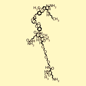 CCCCCNc1nc(N)nc2ccn(Cc3ccc(CN4CC5(C4)CN(C(=O)OCc4ccc(NC(=O)[C@H](CCCNC(N)=O)NC(=O)[C@@H](NC(=O)CCOCCOCCOCCOCCNC(=O)[C@@H](CCCCN)NC(C)=O)C(C)C)cc4)CCO5)cc3OC)c12